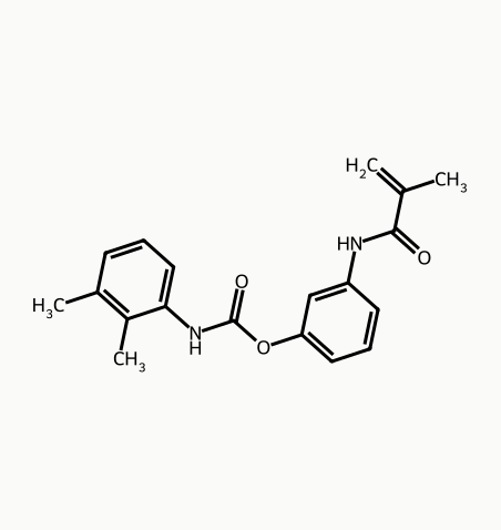 C=C(C)C(=O)Nc1cccc(OC(=O)Nc2cccc(C)c2C)c1